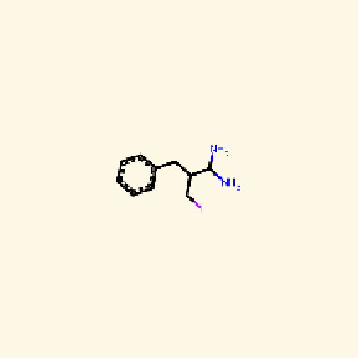 NC(N)C(CI)Cc1ccccc1